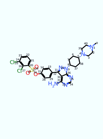 CN1CCN([C@H]2CC[C@@H](n3nc(-c4ccc(OS(=O)(=O)c5cccc(Cl)c5Cl)cc4)c4c(N)ncnc43)CC2)CC1